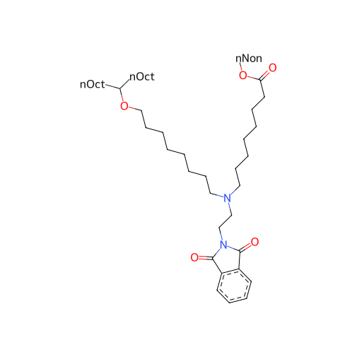 CCCCCCCCCOC(=O)CCCCCCCN(CCCCCCCCOC(CCCCCCCC)CCCCCCCC)CCN1C(=O)c2ccccc2C1=O